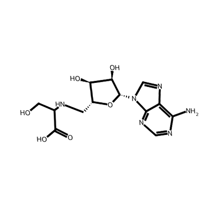 Nc1ncnc2c1ncn2[C@@H]1O[C@H](CNC(CO)C(=O)O)[C@@H](O)[C@H]1O